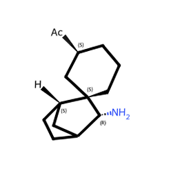 CC(=O)[C@H]1CCC[C@]2(C1)[C@H]1CCC(C1)[C@H]2N